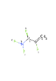 C=C(F)[C@H](F)N(F)F